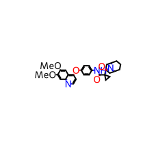 COc1cc2nccc(Oc3ccc(NC(=O)C4(C(=O)N5C6CCCC5CCC6)CC4)cc3)c2cc1OC